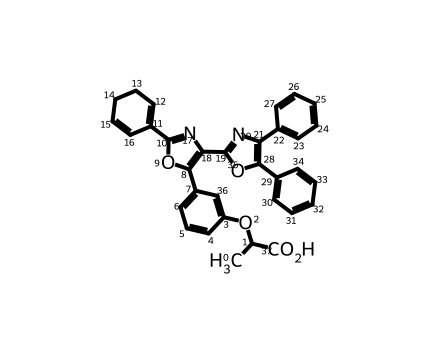 CC(Oc1cccc(-c2oc(C3=CCCC=C3)nc2-c2nc(-c3ccccc3)c(-c3ccccc3)o2)c1)C(=O)O